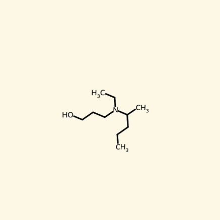 CCCC(C)N(CC)CCCO